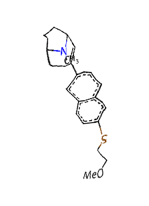 COCCSc1ccc2cc(C3=CC4CCC(C3)N4C)ccc2c1